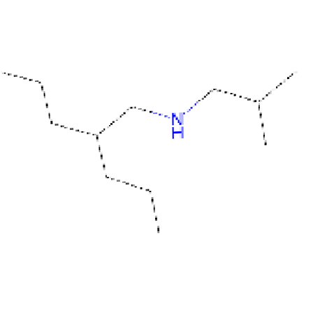 CCCC(CCC)CNCC(C)C